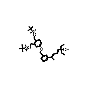 CCC(O)(C=CC=C(C)c1cccc(COc2ccc(CO[Si](C)(C)C(C)(C)C)c(CO[Si](C)(C)C(C)(C)C)c2)c1)CC